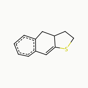 C1=C2SCCC2Cc2ccccc21